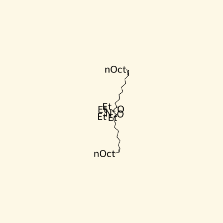 CCCCCCCC/C=C\CCCCCCCC(=O)C(CC)(C(=O)CCCCCCC/C=C\CCCCCCCC)[N+](CC)(CC)CC